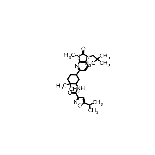 CC(C)c1cc(C(=O)NC2CC(c3ccc4c(n3)n(C)c(=O)n4CC(C)(C)C)CCC2(C)C)no1